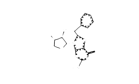 Nc1nc2c(nc(Cc3ccccc3)n2[C@@H]2O[C@H](C(=O)O)[C@@H](O)[C@H]2O)c(=O)[nH]1